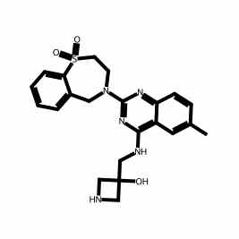 Cc1ccc2nc(N3CCS(=O)(=O)c4ccccc4C3)nc(NCC3(O)CNC3)c2c1